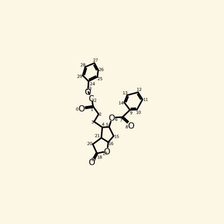 O=C(CCC1C(OC(=O)c2ccccc2)CC2OC(=O)CC21)COc1ccccc1